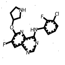 Fc1cc2ncnc(Nc3cccc(Cl)c3F)c2nc1OC1CCNC1